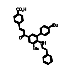 CC(C)(C)c1ccc(-c2cc(C(=O)C=Cc3ccc(C(=O)O)cc3)cc(C(C)(C)C)c2NCCc2ccccc2)cc1